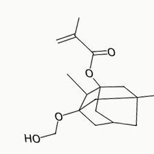 C=C(C)C(=O)OC12CC3CC(C)(CC(OCO)(C3)C1C)C2